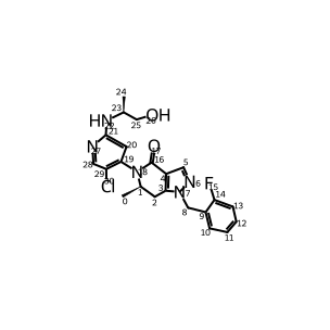 C[C@@H]1Cc2c(cnn2Cc2ccccc2F)C(=O)N1c1cc(N[C@@H](C)CO)ncc1Cl